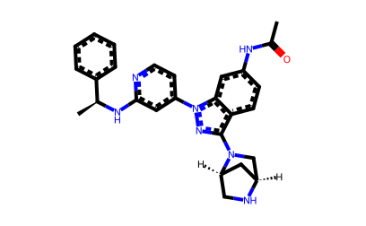 CC(=O)Nc1ccc2c(N3C[C@@H]4C[C@H]3CN4)nn(-c3ccnc(N[C@@H](C)c4ccccc4)c3)c2c1